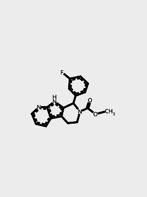 COC(=O)N1CCc2c([nH]c3ncccc23)C1c1cccc(F)c1